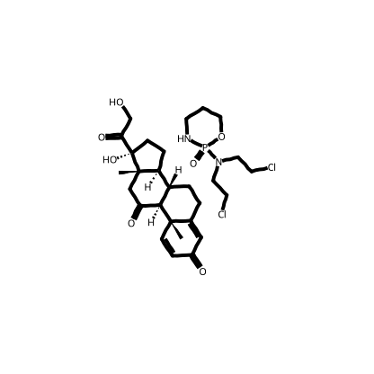 C[C@]12C=CC(=O)C=C1CC[C@@H]1[C@@H]2C(=O)C[C@@]2(C)[C@H]1CC[C@]2(O)C(=O)CO.O=P1(N(CCCl)CCCl)NCCCO1